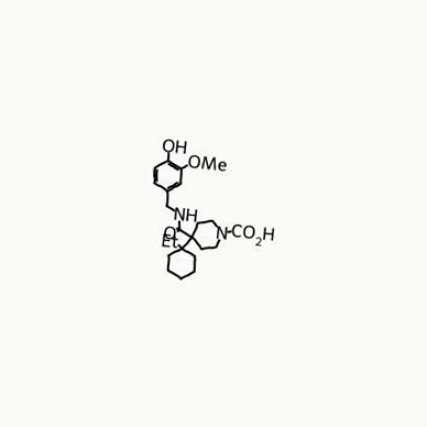 CCC1(C2(C(=O)NCc3ccc(O)c(OC)c3)CCN(C(=O)O)CC2)CCCCC1